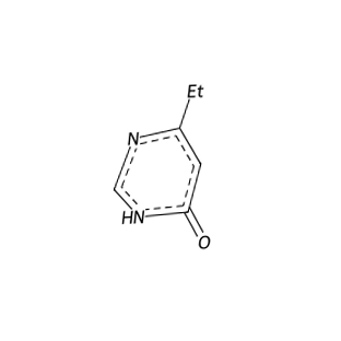 CCc1cc(=O)[nH]cn1